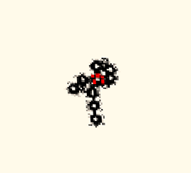 c1ccc(-c2ccc(-c3ccc(N(c4cccc(-c5cccc6oc7ccc8ccc9oc%10ccccc%10c9c8c7c56)c4)c4cccc5c4sc4ccccc45)cc3)cc2)cc1